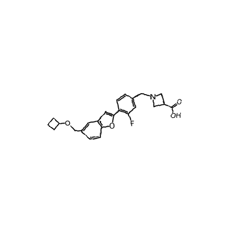 O=C(O)C1CN(Cc2ccc(-c3cc4cc(COC5CCC5)ccc4o3)c(F)c2)C1